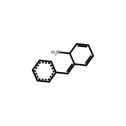 NC1C=CC=CC1=Cc1ccccc1